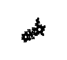 C=CCC1C2CC2C(C)C2CN(C(C)(C)c3ccccn3)CC21